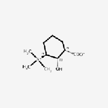 C[N+](C)(C)[C@H]1CCC[C@H](C(=O)[O-])[C@@H]1O